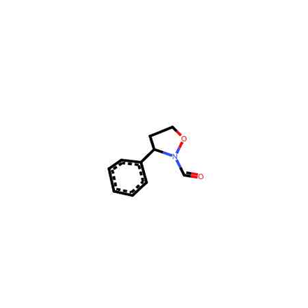 O=CN1OCCC1c1ccccc1